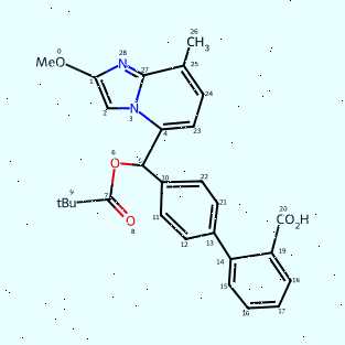 COc1cn2c(C(OC(=O)C(C)(C)C)c3ccc(-c4ccccc4C(=O)O)cc3)ccc(C)c2n1